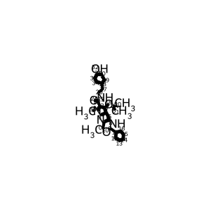 CCc1nc2c(cc1NC(=O)c1ccccc1)c(OC(C)C)c(C(=O)NCCc1ccc(O)cc1)n2C